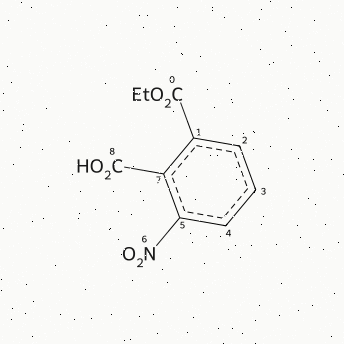 CCOC(=O)c1cccc([N+](=O)[O-])c1C(=O)O